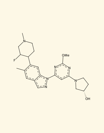 COc1nc(N2CC[C@H](O)C2)cc(-n2ncc3cc(C)c(C4CCN(C)CC4F)cc32)n1